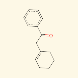 O=C(CC1=CCCCC1)c1ccccc1